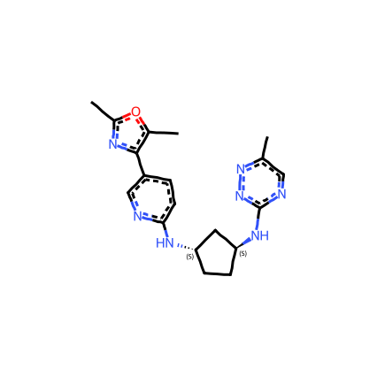 Cc1cnc(N[C@H]2CC[C@H](Nc3ccc(-c4nc(C)oc4C)cn3)C2)nn1